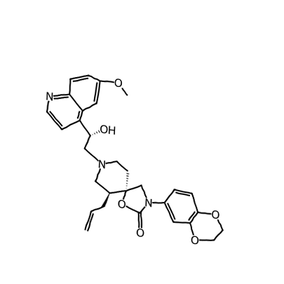 C=CC[C@H]1CN(C[C@@H](O)c2ccnc3ccc(OC)cc23)CC[C@@]12CN(c1ccc3c(c1)OCCO3)C(=O)O2